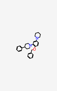 c1ccc(COc2ccc(N3CCCCC3)cc2N2CCC(c3ccccc3)CC2)cc1